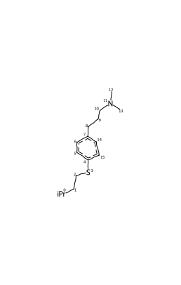 CC(C)CCSc1ccc(CCCN(C)C)cc1